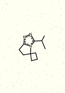 CC(C)c1nnc2n1C1(CCC1)CC2